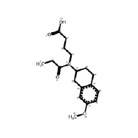 CCC(=O)N(CCCC(=O)O)C1CCc2ccc(OC)cc2C1